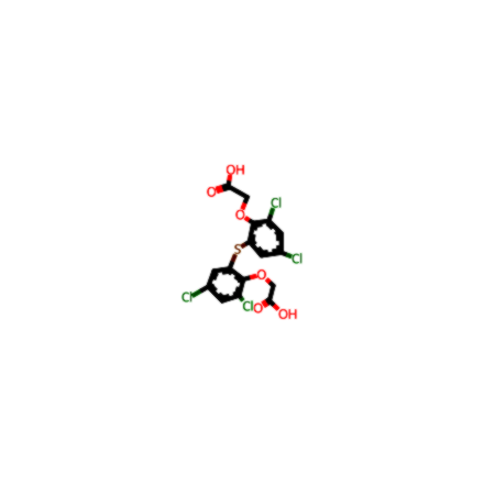 O=C(O)COc1c(Cl)cc(Cl)cc1Sc1cc(Cl)cc(Cl)c1OCC(=O)O